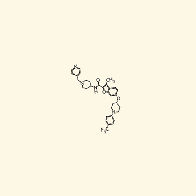 Cc1c(C(=O)NC2CCN(Cc3ccncc3)CC2)oc2cc(OC3CCN(c4ccc(C(F)(F)F)cc4)CC3)ccc12